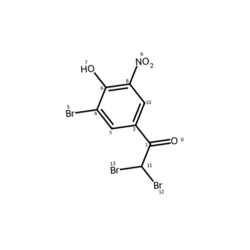 O=C(c1cc(Br)c(O)c([N+](=O)[O-])c1)C(Br)Br